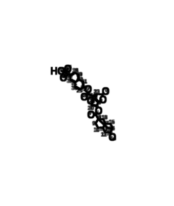 O=C1Oc2c(OC(=O)C34CCC5CC(=O)C(CC5C3)C4)c3oc2c1c3C(=O)Oc1ccc2cc(S(=O)(=O)O)ccc2c1